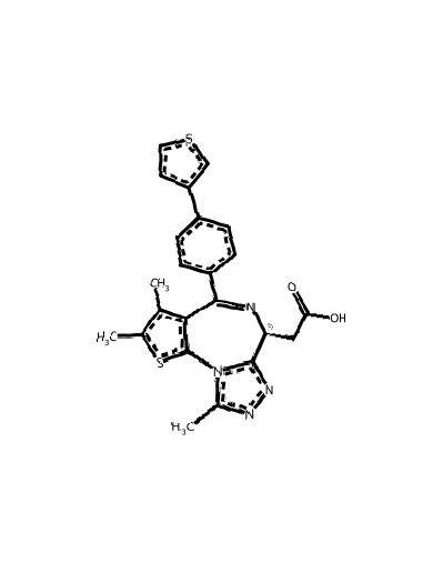 Cc1sc2c(c1C)C(c1ccc(-c3ccsc3)cc1)=N[C@@H](CC(=O)O)c1nnc(C)n1-2